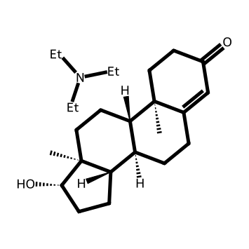 CCN(CC)CC.C[C@]12CC[C@H]3[C@@H](CCC4=CC(=O)CC[C@@]43C)[C@@H]1CC[C@@H]2O